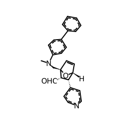 CN(C[C@@]12C=C[C@@H](O1)[C@H](c1ccncc1)[C@@H]2C=O)c1ccc(-c2ccccc2)cc1